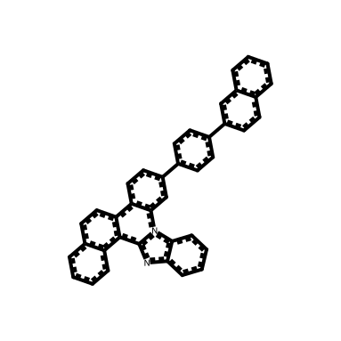 c1ccc2cc(-c3ccc(-c4ccc5c6ccc7ccccc7c6c6nc7ccccc7n6c5c4)cc3)ccc2c1